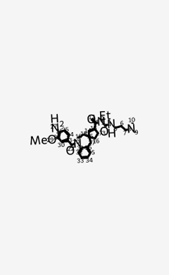 CCN(C(=O)NCCCN(C)C)C(=O)C1=CC2(CC1)CCN(C(=O)c1ccc(N)c(OC)c1)c1ccccc1C2